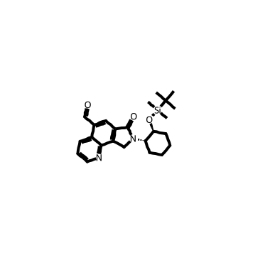 CC(C)(C)[Si](C)(C)O[C@H]1CCCC[C@@H]1N1Cc2c(cc(C=O)c3cccnc23)C1=O